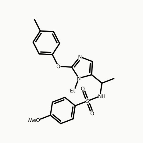 CCn1c(C(C)NS(=O)(=O)c2ccc(OC)cc2)cnc1Oc1ccc(C)cc1